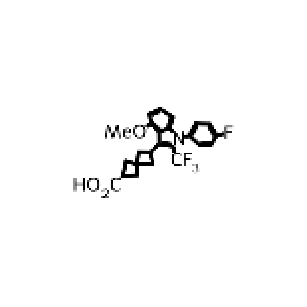 COc1cccc2c1c(C1CC3(CC(C(=O)O)C3)C1)c(C(F)(F)F)n2-c1ccc(F)cc1